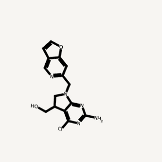 Nc1nc(Cl)c2c(n1)N(Cc1cc3occc3cn1)CC2CO